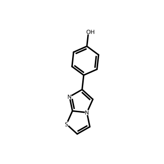 Oc1ccc(-c2cn3ccsc3n2)cc1